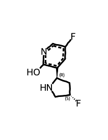 Oc1ncc(F)cc1[C@H]1C[C@H](F)CN1